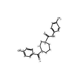 O=C(Nc1ccc(C(F)(F)F)cc1)N1CCCN(C(=O)c2ccc(Cl)cc2)CC1